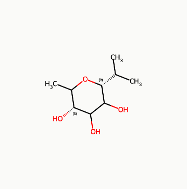 CC1O[C@H](C(C)C)C(O)C(O)[C@@H]1O